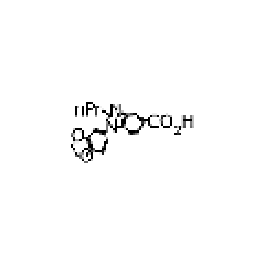 CCCc1nc2cc(C(=O)O)ccc2n1-c1ccc2c(c1)OCCO2